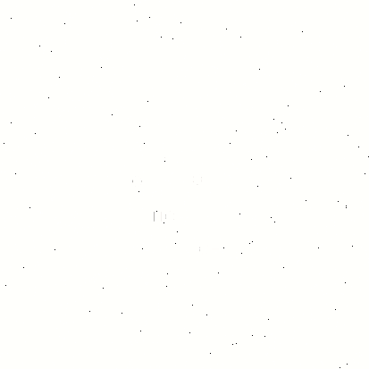 C=CC(=O)OC(C)(O)O